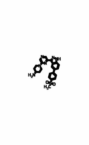 CS(=O)(=O)c1ccc(-c2ccc3[nH]nc(-c4cncc(N5CCC(N)CC5)n4)c3c2)cc1